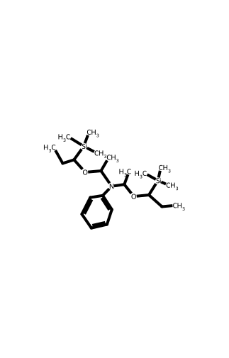 CCC(OC(C)N(c1ccccc1)C(C)OC(CC)[Si](C)(C)C)[Si](C)(C)C